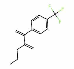 C=C(CCC)C(=C)c1ccc(C(F)(F)F)cc1